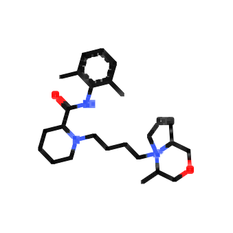 Cc1cccc(C)c1NC(=O)C1CCCCN1CCCC[N+]1(CC=O)C(C)COCC1C